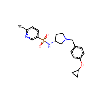 N#Cc1ccc(S(=O)(=O)N[C@@H]2CCN(Cc3ccc(OC4CC4)cc3)C2)cn1